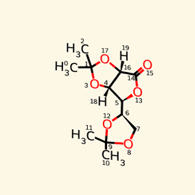 CC1(C)O[C@H]2[C@H]([C@H]3COC(C)(C)O3)OC(=O)[C@H]2O1